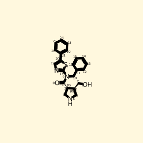 O=C([C@H]1CNC[C@@H]1CO)N(Cc1ccccc1)c1ncc(-c2ccccc2)s1